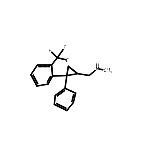 CNCC1CC1(c1ccccc1)c1ccccc1C(F)(F)F